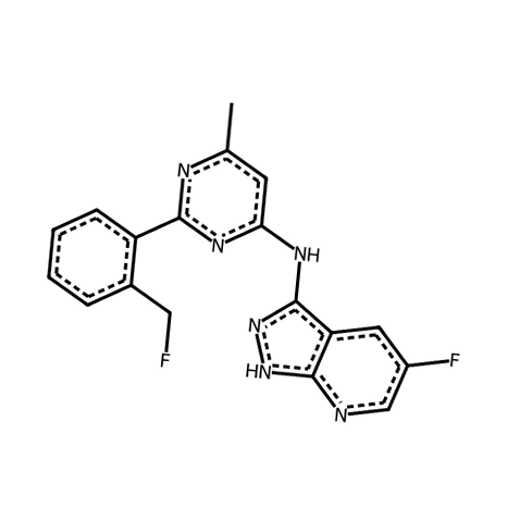 Cc1cc(Nc2n[nH]c3ncc(F)cc23)nc(-c2ccccc2CF)n1